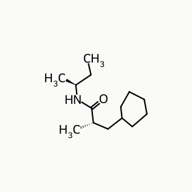 CC[C@H](C)NC(=O)[C@@H](C)CC1CCCCC1